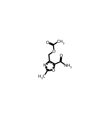 CC(=O)OCc1nc(C)oc1C(N)=O